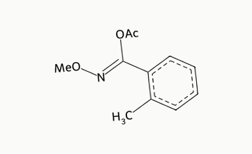 CON=C(OC(C)=O)c1ccccc1C